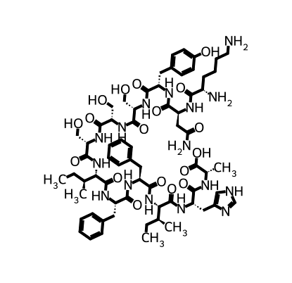 CC[C@H](C)[C@H](NC(=O)[C@H](Cc1ccccc1)NC(=O)[C@H](Cc1ccccc1)NC(=O)[C@@H](NC(=O)[C@H](CO)NC(=O)[C@H](CO)NC(=O)[C@H](CO)NC(=O)[C@H](Cc1ccc(O)cc1)NC(=O)[C@H](CC(N)=O)NC(=O)[C@@H](N)CCCCN)[C@@H](C)CC)C(=O)N[C@@H](Cc1c[nH]cn1)C(=O)N[C@@H](C)C(=O)O